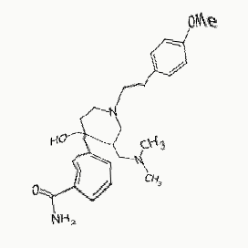 COc1ccc(CCN2CCC(O)(c3cccc(C(N)=O)c3)C(CN(C)C)C2)cc1